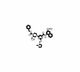 COc1cc(NC(=O)c2cc(N3CCN(C(=O)OCc4ccccc4)[C@@H](CC#N)C3)nc(OC[C@@H]3CCCN3C)n2)c2ccccc2c1